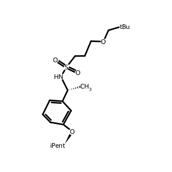 CCC[C@H](C)Oc1cccc([C@@H](C)NS(=O)(=O)CCCOCC(C)(C)C)c1